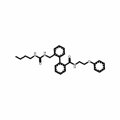 CCCCNC(=O)NCc1ccccc1-c1ccccc1C(=O)NCCOc1ccccc1